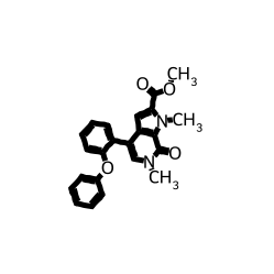 COC(=O)c1cc2c(-c3ccccc3Oc3ccccc3)cn(C)c(=O)c2n1C